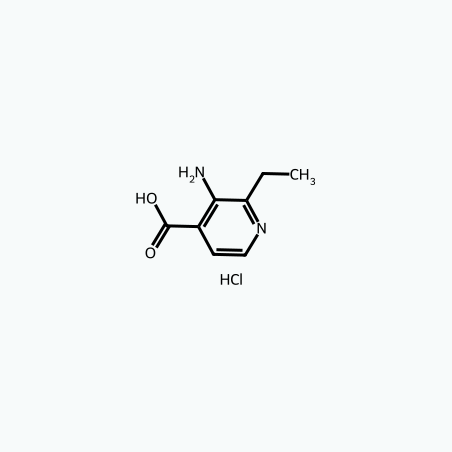 CCc1nccc(C(=O)O)c1N.Cl